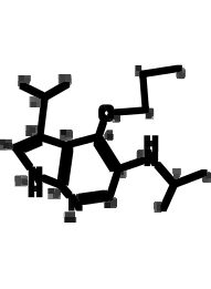 CCCOc1c(NC(C)C)cnc2[nH]cc(C(C)C)c12